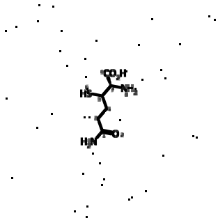 NC(=O)CCC(S)[C@H](N)C(=O)O